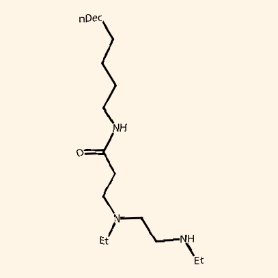 CCCCCCCCCCCCCCNC(=O)CCN(CC)CCNCC